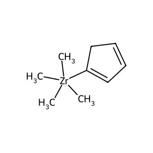 [CH3][Zr]([CH3])([CH3])([CH3])[C]1=CC=CC1